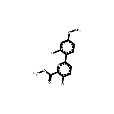 COC(=O)c1nc(-c2ccc(OC)cc2Cl)ccc1Cl